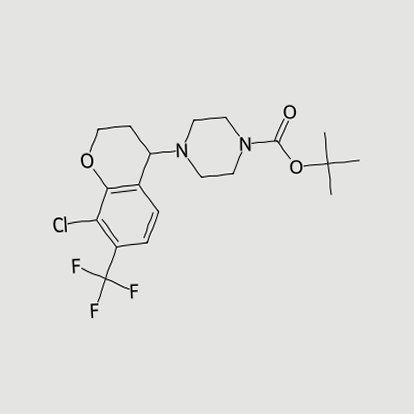 CC(C)(C)OC(=O)N1CCN(C2CCOc3c2ccc(C(F)(F)F)c3Cl)CC1